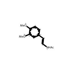 COc1ccc(C=CNC(C)=O)cc1OC